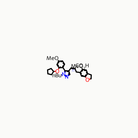 CCCCn1ncc(/C=C(\Cc2cc3c(cc2OC)CCO3)C(=O)O)c1-c1ccc(OC)cc1OC1CCCC1